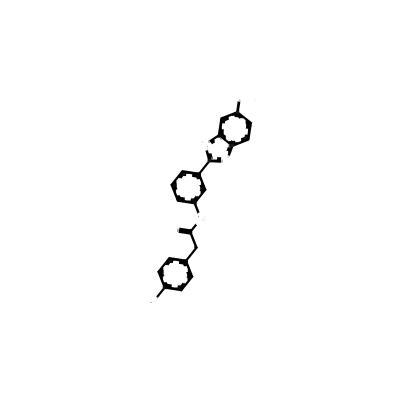 Cc1ccc2oc(-c3cccc(NC(=O)Cc4ccc(C(C)(C)C)cc4)c3)nc2c1